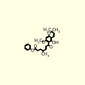 COc1cc2c(c(O)c1C(=O)C=CC(C)CCC(=O)Oc1ccccc1)C=CC(C)(C)O2